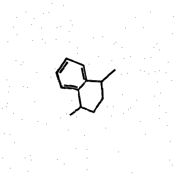 CC1CCC(C)c2ccccc21